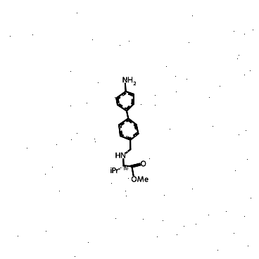 COC(=O)[C@@H](NCc1ccc(-c2ccc(N)cc2)cc1)C(C)C